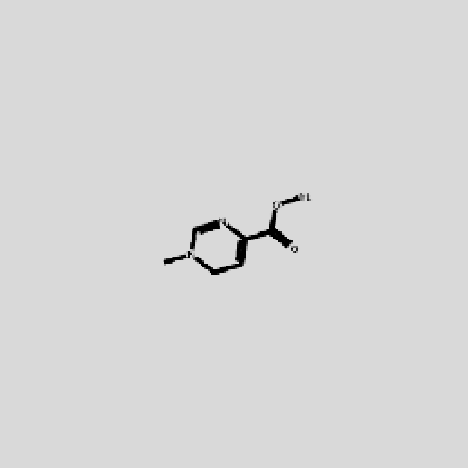 CCOC(=O)C1=CCN(C)C=N1